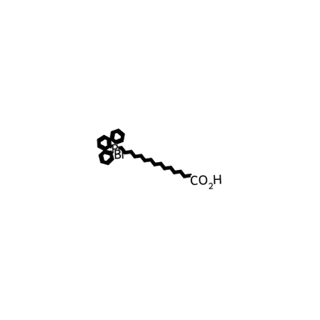 O=C(O)CCCCCCCCCCCCCCCP(Br)(c1ccccc1)(c1ccccc1)c1ccccc1